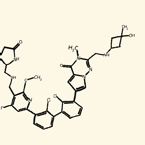 COc1nc(-c2cccc(-c3cccc(-c4cc5c(=O)n(C)c(CNC6CC(C)(O)C6)nn5c4)c3Cl)c2Cl)cc(F)c1CNCC1CCC(=O)N1